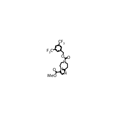 COC(=O)c1cnc2n1CCN(C(=O)OCc1cc(C(F)(F)F)cc(C(F)(F)F)c1)CC2